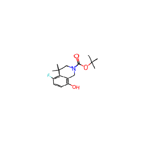 CC(C)(C)OC(=O)N1Cc2c(O)ccc(F)c2C(C)(C)C1